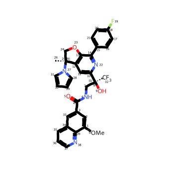 COc1cc(C(=O)NC[C@](O)(c2cc3c(c(-c4ccc(F)cc4)n2)OC[C@]3(C)n2cccc2)C(F)(F)F)cc2cccnc12